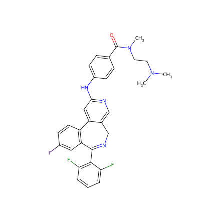 CN(C)CCN(C)C(=O)c1ccc(Nc2cc3c(cn2)CN=C(c2c(F)cccc2F)c2cc(I)ccc2-3)cc1